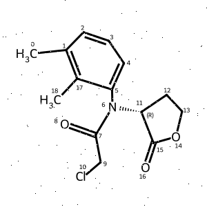 Cc1cccc(N(C(=O)CCl)[C@@H]2CCOC2=O)c1C